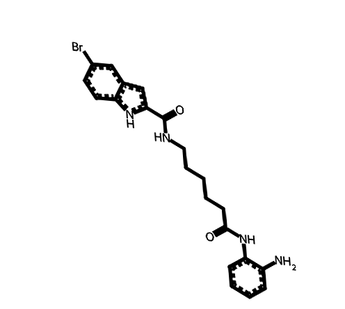 Nc1ccccc1NC(=O)CCCCCNC(=O)c1cc2cc(Br)ccc2[nH]1